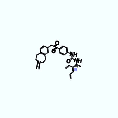 C=C/C=C(\C=C)[C@H](C)NC(=O)Nc1ccc(S(=O)(=O)Cc2ccc3c(c2)CCNCC3)cc1